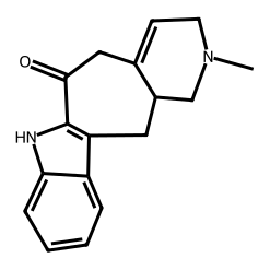 CN1CC=C2CC(=O)c3[nH]c4ccccc4c3CC2C1